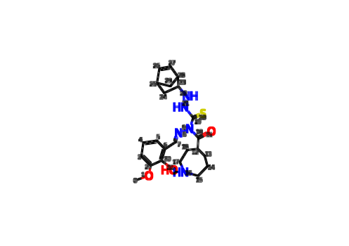 COc1cccc(C=NN(C(=O)C2CCCNCC2)C(=S)NNC2CC3C=CC2C3)c1O